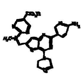 CCOC(=O)c1cnc(N(C)Cc2cc3nc(-c4ccc(N)nc4)nc(N4CCOCC4)c3s2)nc1